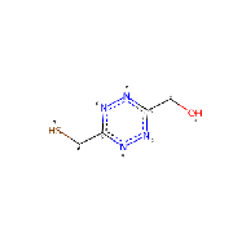 OCc1nnc(CS)nn1